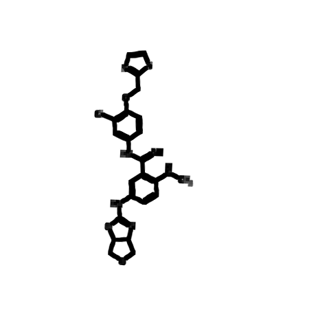 CNc1ccc(NC2=NC3COCC3O2)cc1C(=N)Nc1ccc(OCc2nccs2)c(Cl)c1